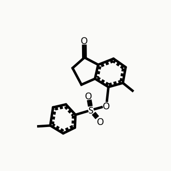 Cc1ccc(S(=O)(=O)Oc2c(C)ccc3c2CCC3=O)cc1